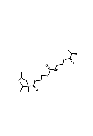 C=C(C)C(=O)OCCNC(=O)OCCOC(=O)[C@@](C)(CC(C)C)C(C)C